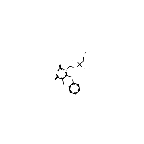 COC(COC(C)(C)C)(OC)OCn1c(Sc2ccccc2)c(C)c(=O)[nH]c1=O